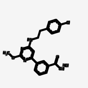 COc1nc(NCCc2ccc(Cl)cc2)cc(-c2cccc(C(=O)O)c2)n1.Cl